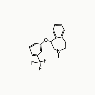 CN1CCc2ccccc2C(Oc2cccc(C(F)(F)F)c2)C1